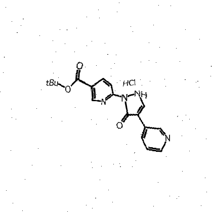 CC(C)(C)OC(=O)c1ccc(-n2[nH]cc(-c3cccnc3)c2=O)nc1.Cl